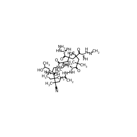 C=NNS(=P)C(=O)C(C)(CC(C)(C)C(=O)S(=P)NNC(=C)CCC(C)(C#N)C(C)(CC)C(=O)NCC(C)O)CC(C)(CC(C)(CC)C(=O)NCC(C)O)C(=O)S(=P)NN